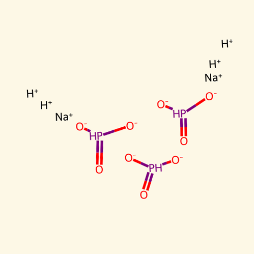 O=[PH]([O-])[O-].O=[PH]([O-])[O-].O=[PH]([O-])[O-].[H+].[H+].[H+].[H+].[Na+].[Na+]